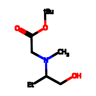 CCC(CO)N(C)CC(=O)OC(C)(C)C